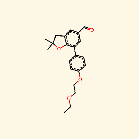 CCOCCOc1ccc(-c2cc(C=O)cc3c2OC(C)(C)C3)cc1